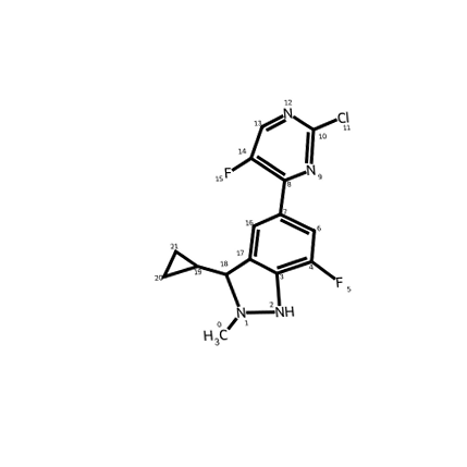 CN1Nc2c(F)cc(-c3nc(Cl)ncc3F)cc2C1C1CC1